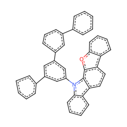 c1ccc(-c2cccc(-c3cc(-c4ccccc4)cc(-n4c5ccccc5c5ccc6c7ccccc7oc6c54)c3)c2)cc1